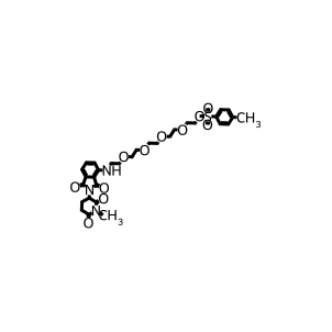 Cc1ccc(S(=O)(=O)OCCOCCOCCOCCOCCNc2cccc3c2C(=O)N(C2CCC(=O)N(C)C2=O)C3=O)cc1